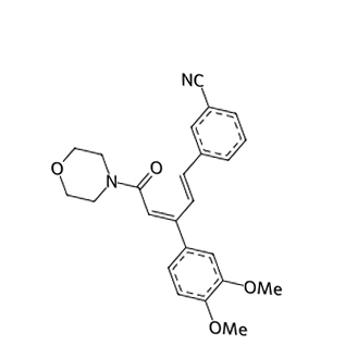 COc1ccc(C(C=Cc2cccc(C#N)c2)=CC(=O)N2CCOCC2)cc1OC